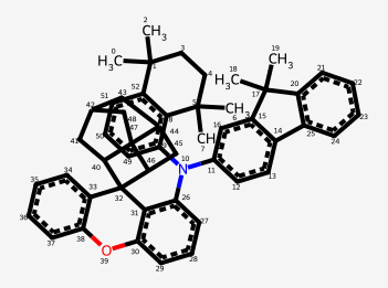 CC1(C)CCC(C)(C)c2c(N(c3ccc4c(c3)C(C)(C)c3ccccc3-4)c3cccc4c3C3(c5ccccc5O4)C4CC5CC6CC3C64C5)cccc21